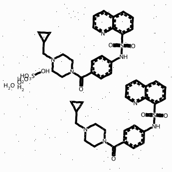 O.O.O.O=C(c1ccc(NS(=O)(=O)c2cccc3cccnc23)cc1)N1CCN(CC2CC2)CC1.O=C(c1ccc(NS(=O)(=O)c2cccc3cccnc23)cc1)N1CCN(CC2CC2)CC1.O=S(=O)(O)O